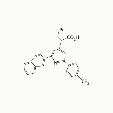 CC(C)CC(C(=O)O)c1cc(-c2ccc(C(F)(F)F)cc2)nc(-c2ccc3ccccc3c2)c1